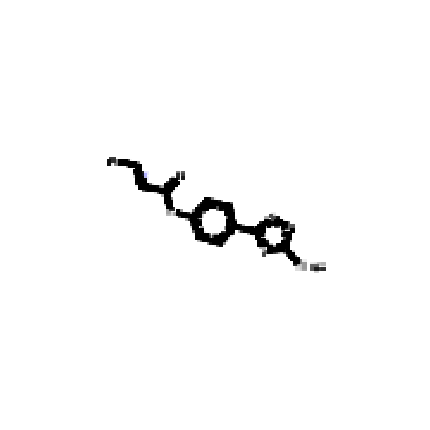 CCC/C=C/C(=O)Oc1ccc(-c2nnc(CCCCCCC)s2)cc1